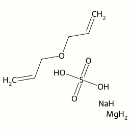 C=CCOCC=C.O=S(=O)(O)O.[MgH2].[NaH]